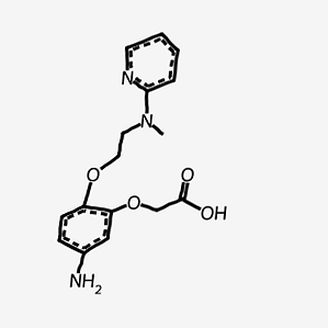 CN(CCOc1ccc(N)cc1OCC(=O)O)c1ccccn1